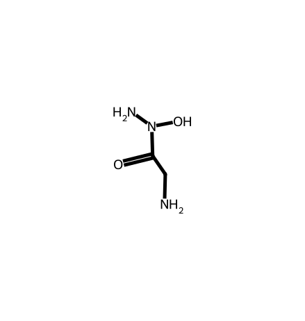 NCC(=O)N(N)O